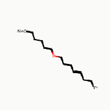 COCCCCCOCCCC=CCCC(C)C